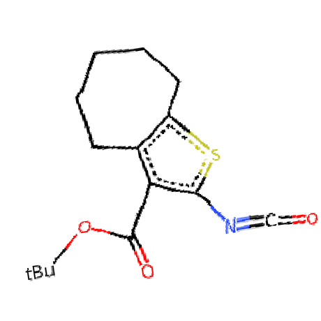 CC(C)(C)OC(=O)c1c(N=C=O)sc2c1CCCCC2